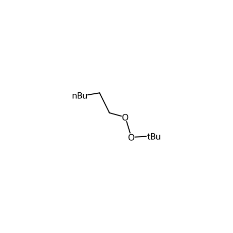 [CH2]CCCCCOOC(C)(C)C